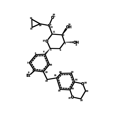 CCc1ccc([C@H]2C[C@@H](O)[C@H](O)C([S+]([O-])C3CC3)O2)cc1Cc1ccc2c(c1)OCCO2